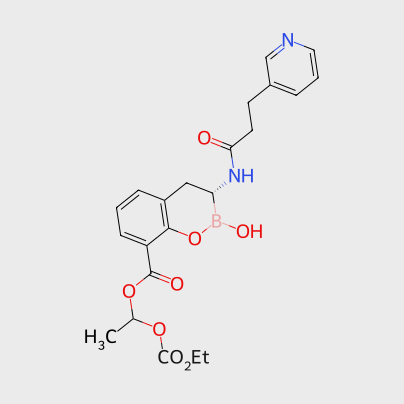 CCOC(=O)OC(C)OC(=O)c1cccc2c1OB(O)[C@@H](NC(=O)CCc1cccnc1)C2